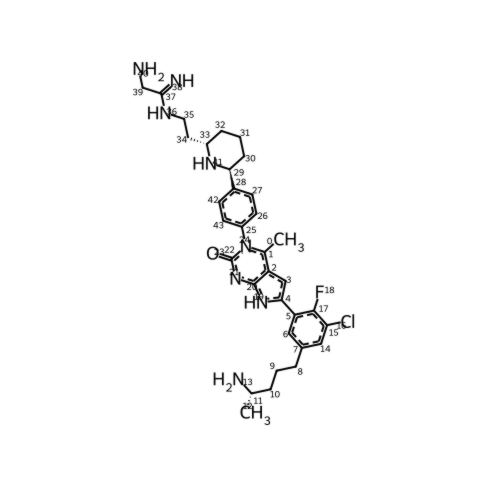 Cc1c2cc(-c3cc(CCC[C@H](C)N)cc(Cl)c3F)[nH]c2nc(=O)n1-c1ccc([C@@H]2CCC[C@@H](CCNC(=N)CN)N2)cc1